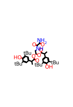 CC(C(=O)OC(CNC(=O)C(N)=O)OC(=O)C(C)c1cc(C(C)(C)C)c(O)c(C(C)(C)C)c1)c1cc(C(C)(C)C)c(O)c(C(C)(C)C)c1